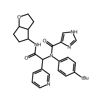 CC(C)(C)c1ccc(N(C(=O)c2c[nH]cn2)C(C(=O)NC2CCC3OCCC23)c2cccnc2)cc1